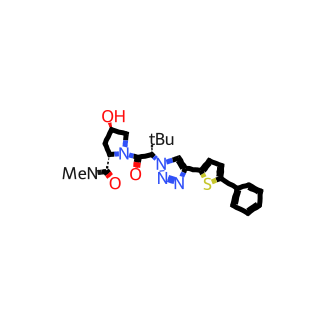 CNC(=O)[C@@H]1C[C@@H](O)CN1C(=O)[C@@H](n1cc(-c2ccc(-c3ccccc3)s2)nn1)C(C)(C)C